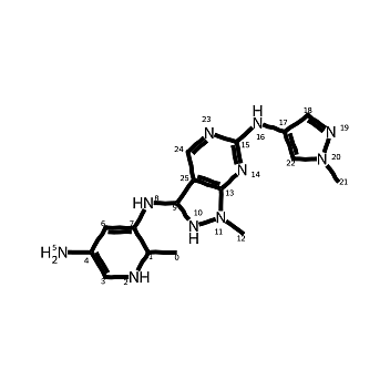 CC1NC=C(N)C=C1NC1NN(C)c2nc(Nc3cnn(C)c3)ncc21